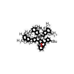 CC(C)(C)c1ccc(N2c3cc4c(oc5ccccc54)c(-c4cc5oc6cc7c(cc6c5cc4Nc4ccc5c(c4)C(C)(C)CCC5(C)C)C(C)(C)CCC7(C)C)c3Bc3oc4cc5c(cc4c32)C(C)(C)CCC5(C)C)c(-c2ccccc2)c1